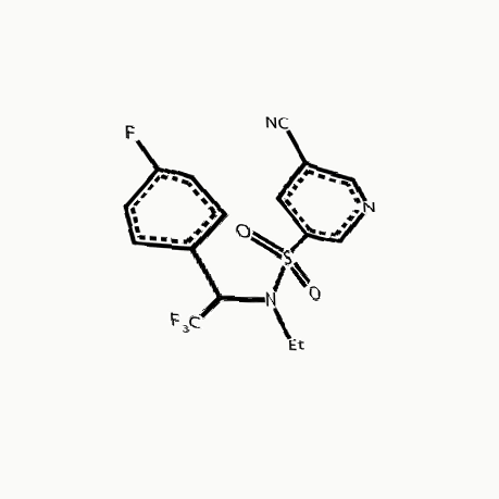 CCN(C(c1ccc(F)cc1)C(F)(F)F)S(=O)(=O)c1cncc(C#N)c1